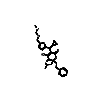 COCOCc1ccc(C(C2=C(O)C(=O)C(CCc3ccccc3)(CC(C)C)OC2=O)C2CC2)s1